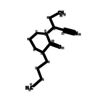 CCCCC1CCCN(C(C#N)CC)C1=O